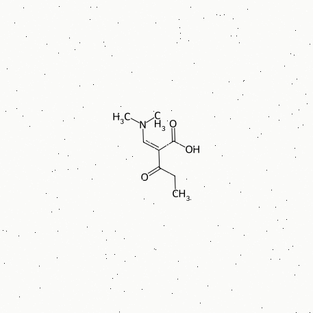 CCC(=O)/C(=C/N(C)C)C(=O)O